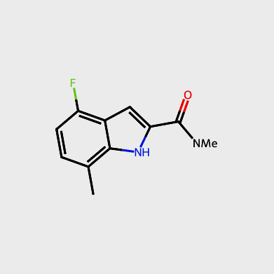 CNC(=O)c1cc2c(F)ccc(C)c2[nH]1